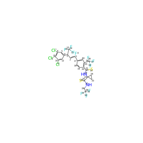 F/C(=C\C(c1cc(Cl)c(Cl)c(Cl)c1)C(F)(F)F)c1ccc(C(=S)NC2(C(=S)NCC(F)(F)F)CC2)c(C(F)(F)F)c1